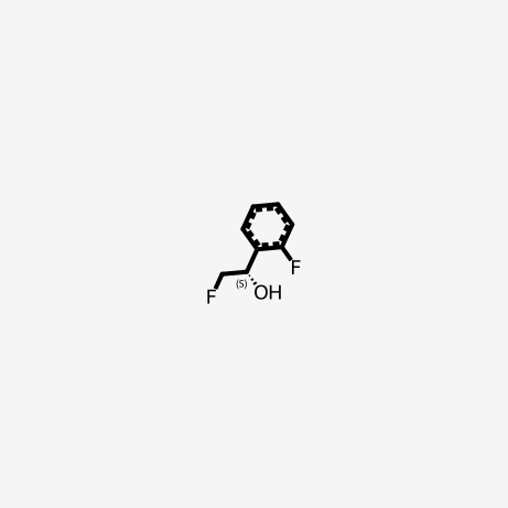 O[C@H](CF)c1ccccc1F